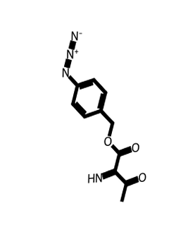 CC(=O)C(=N)C(=O)OCc1ccc(N=[N+]=[N-])cc1